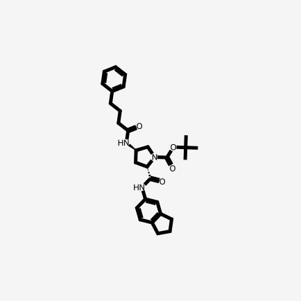 CC(C)(C)OC(=O)N1C[C@H](NC(=O)CCCc2ccccc2)C[C@H]1C(=O)Nc1ccc2c(c1)CCC2